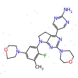 Cc1cc(N2CCOCC2)cc(N2CCc3c(-c4cnc(N)nc4)nc(N4CCOCC4)nc32)c1F